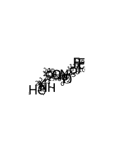 Cc1oc(-c2ccc(C(F)(F)F)cc2)nc1COc1cccc(C=CC(C)NO)c1